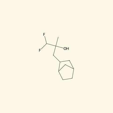 CC(O)(CC1CC2CCC1C2)C(F)F